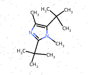 Cc1nc(C(C)(C)C)n(C)c1C(C)(C)C